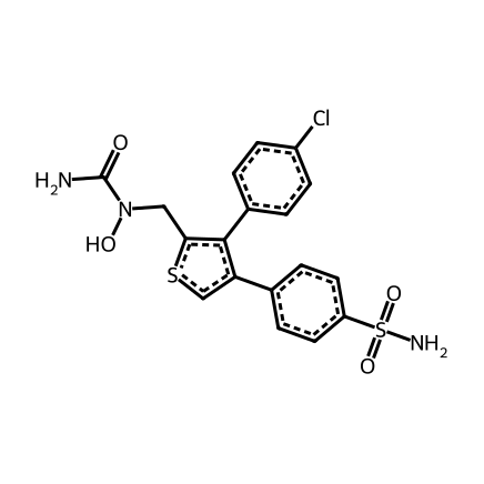 NC(=O)N(O)Cc1scc(-c2ccc(S(N)(=O)=O)cc2)c1-c1ccc(Cl)cc1